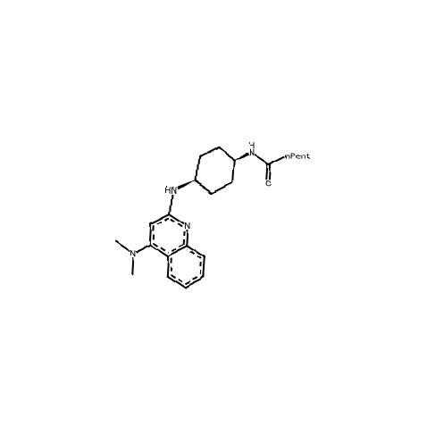 CCCCCC(=O)N[C@H]1CC[C@@H](Nc2cc(N(C)C)c3ccccc3n2)CC1